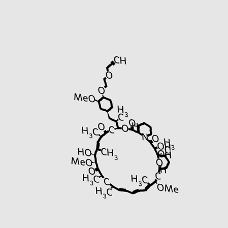 C#CCOCCO[C@@H]1CC[C@@H](C[C@@H](C)[C@@H]2CC(=O)[C@H](C)/C=C(\C)[C@@H](O)[C@@H](OC)C(=O)[C@H](C)C[C@H](C)/C=C/C=C/C=C(\C)[C@@H](OC)C[C@@H]3CC[C@@H](C)[C@@](O)(O3)C(O)C(=O)N3CCCC[C@H]3C(=O)O2)C[C@H]1OC